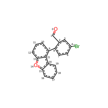 O=Cc1cc(Br)ccc1-c1cccc2oc3ccccc3c12